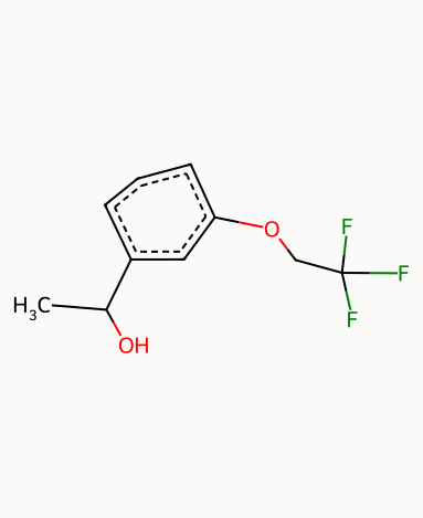 CC(O)c1cccc(OCC(F)(F)F)c1